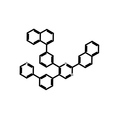 c1cncc(-c2cccc(-c3cnc(-c4ccc5ccccc5c4)nc3-c3cccc(-c4cccc5ccccc45)c3)c2)c1